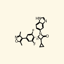 Cc1noc(C)c1-c1cc(F)c([C@H]2C(C3CC3)C(=O)N2c2ccc3[nH]cnc3c2)c(F)c1